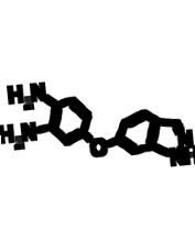 Nc1ccc(Oc2ccc3cn[nH]c3c2)cc1N